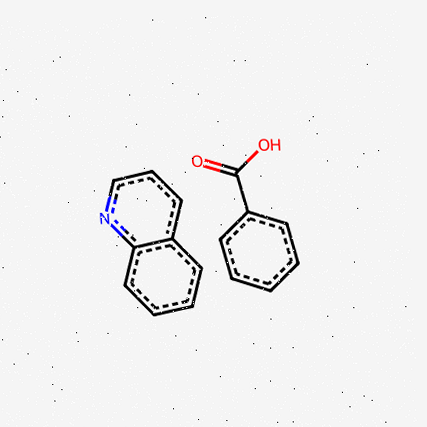 O=C(O)c1ccccc1.c1ccc2ncccc2c1